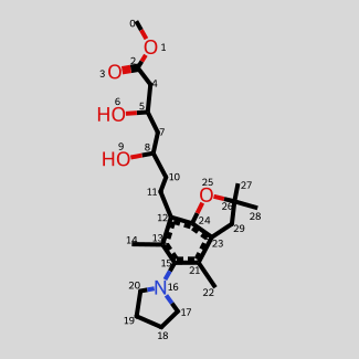 COC(=O)CC(O)CC(O)CCc1c(C)c(N2CCCC2)c(C)c2c1OC(C)(C)C2